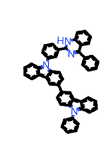 c1ccc(C2=NC(c3cccc(-n4c5ccccc5c5cc(-c6ccc7c(c6)c6ccccc6n7-c6ccccc6)ccc54)c3)Nc3ccccc32)cc1